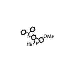 COc1ccc(F)c(-c2ccc(N=C(c3ccccc3)c3ccccc3)cc2CC(C)(C)C)c1